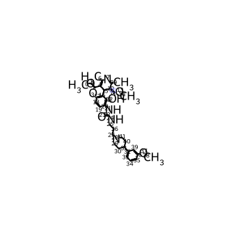 COC(=O)C1=C(C)N=C(C)/C(=C(/O)OC)C1c1cccc(NC(=O)NCCCN2CCC(c3cccc(OC)c3)CC2)c1